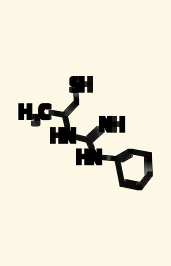 CC(CS)NC(=N)Nc1ccccc1